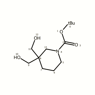 CC(C)(C)OC(=O)N1CCCC(CO)(CO)C1